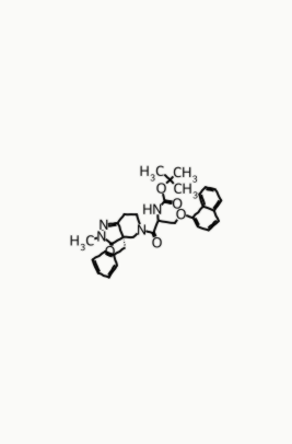 CN1N=C2CCN(C(=O)C(COc3cccc4ccccc34)NC(=O)OC(C)(C)C)C[C@@]2(Cc2ccccc2)C1=O